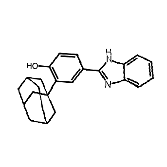 Oc1ccc(-c2nc3ccccc3[nH]2)cc1C12CC3CC(CC(C3)C1)C2